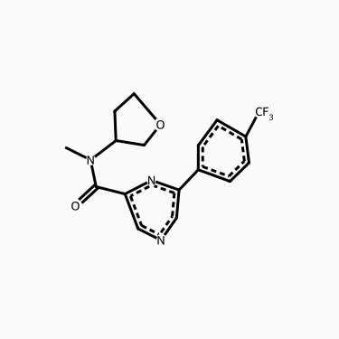 CN(C(=O)c1cncc(-c2ccc(C(F)(F)F)cc2)n1)C1CCOC1